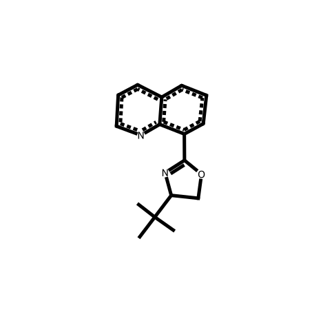 CC(C)(C)C1COC(c2cccc3cccnc23)=N1